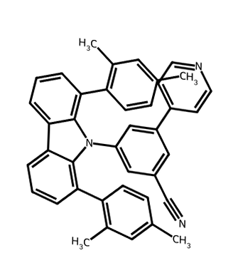 Cc1ccc(-c2cccc3c4cccc(-c5ccc(C)cc5C)c4n(-c4cc(C#N)cc(-c5ccncc5)c4)c23)c(C)c1